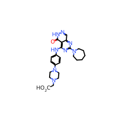 O=C(O)CN1CCN(c2ccc(Nc3nc(N4CCCCCC4)nc4cn[nH]c(=O)c34)cc2)CC1